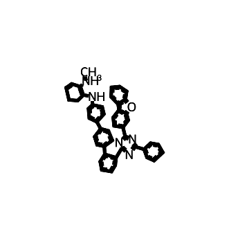 CNC1=C(Nc2ccc(-c3ccc(-c4ccccc4-c4nc(-c5ccccc5)nc(-c5ccc6c(c5)oc5ccccc56)n4)cc3)cc2)CCC=C1